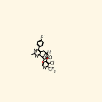 Cc1nc(-c2ccc(F)cc2)c2c(n1)C1C(C)CC[C@@H](C2)N1C(=O)c1ccnc(C(F)(F)F)c1Cl